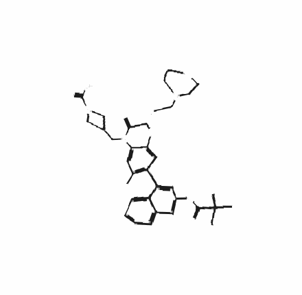 CC(C)(C)C(=O)Oc1cc(-c2cc3c(cc2Cl)N(CC2CN(C(=O)O)C2)C(=O)[C@H](CCN2CCOCC2)O3)c2ccccc2c1